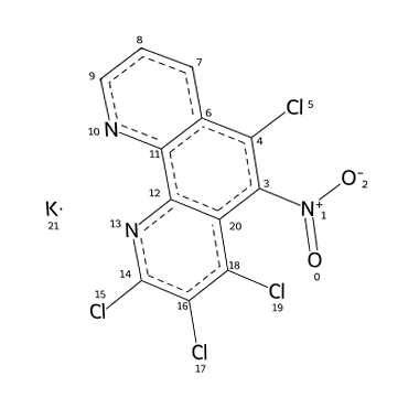 O=[N+]([O-])c1c(Cl)c2cccnc2c2nc(Cl)c(Cl)c(Cl)c12.[K]